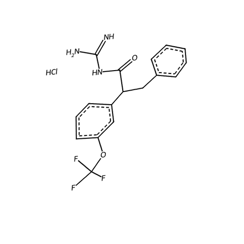 Cl.N=C(N)NC(=O)C(Cc1ccccc1)c1cccc(OC(F)(F)F)c1